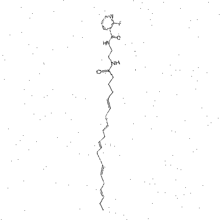 CCC=CCC=CCC=CCC=CCC=CCCCC(=O)NCCNC(=O)c1cccnc1F